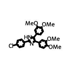 COc1ccc(-c2nc(-c3ccc(Cl)cc3)[nH]c2-c2ccc(OC)c(OC)c2)cc1OC